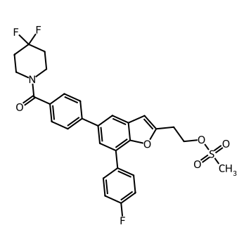 CS(=O)(=O)OCCc1cc2cc(-c3ccc(C(=O)N4CCC(F)(F)CC4)cc3)cc(-c3ccc(F)cc3)c2o1